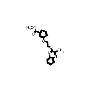 COC(=O)c1cccc(OCCOc2nc3ccccc3nc2C)c1